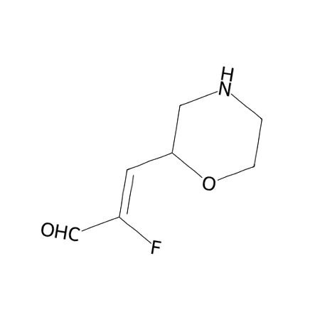 O=C/C(F)=C/C1CNCCO1